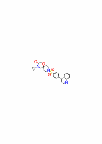 O=C1COC2(CCN(S(=O)(=O)c3ccc(-c4ccnc5ccccc45)cc3)CC2)CN1C1CC1